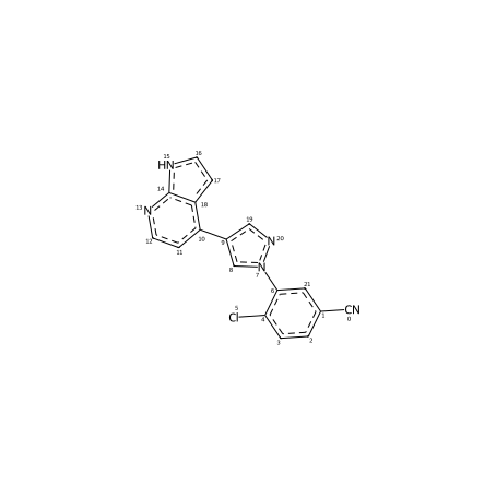 N#Cc1ccc(Cl)c(-n2cc(-c3ccnc4[nH]ccc34)cn2)c1